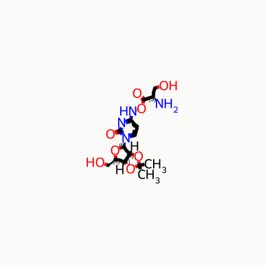 CC1(C)O[C@@H]2[C@H](O1)[C@@H](CO)O[C@H]2n1ccc(NOC(=O)[C@@H](N)CO)nc1=O